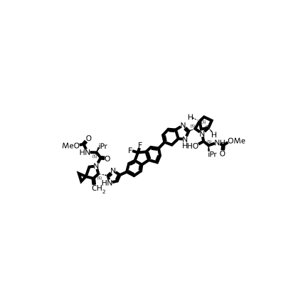 C=C1[C@@H](c2nc(-c3ccc4c(c3)C(F)(F)c3cc(C5=CC=C6N=C([C@@H]7[C@H]8CC[C@H](C8)N7C(O)[C@@H](NC(=O)OC)C(C)C)NC6C5)ccc3-4)c[nH]2)N(C(=O)[C@@H](NC(=O)OC)C(C)C)CC12CC2